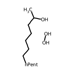 CCCCCCCCCCC(C)O.OO